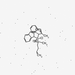 C=CCC[SiH](C)[Zr]([Cl])([Cl])([CH]1C(C)=Cc2ccccc21)[CH]1C(C)=Cc2ccccc21